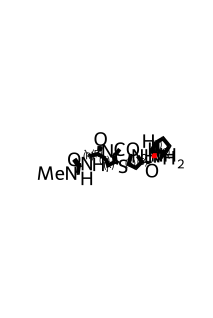 CNCC(=O)N[C@H](C)[C@H]1C(=O)N2C(C(=O)O)=C(S[C@@H]3CN[C@H](C(=O)N4C[C@H]5CC[C@@H](C4)C5N)C3)[C@H](C)[C@H]12